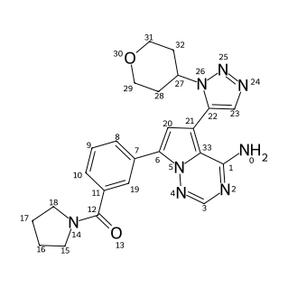 Nc1ncnn2c(-c3cccc(C(=O)N4CCCC4)c3)cc(-c3cnnn3C3CCOCC3)c12